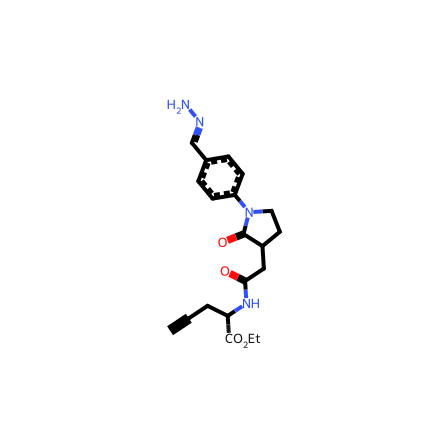 C#CCC(NC(=O)CC1CCN(c2ccc(C=NN)cc2)C1=O)C(=O)OCC